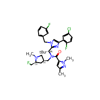 Cc1cc(C(=O)N(C[C@H]2C[C@@H](CF)N(C)C2)[C@@H](c2nc(-c3cc(Cl)ccc3F)cn2Cc2cccc(F)c2)C(C)(C)C)n(C)n1